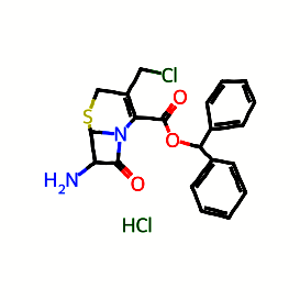 Cl.NC1C(=O)N2C(C(=O)OC(c3ccccc3)c3ccccc3)=C(CCl)CSC12